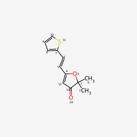 CC1(C)OC(C=Cc2cccs2)=CC1=O